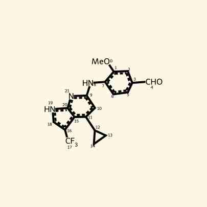 COc1cc(C=O)ccc1Nc1cc(C2CC2)c2c(C(F)(F)F)c[nH]c2n1